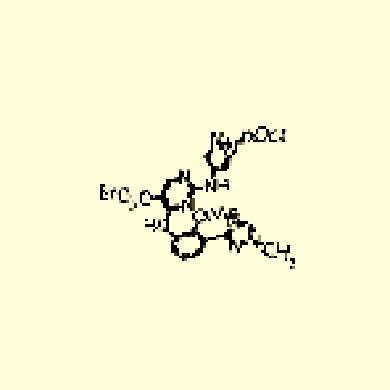 CCCCCCCCn1cc(Nc2ncc(C(=O)OCC)c(Nc3cccc(-c4ncn(C)n4)c3OC)n2)cn1